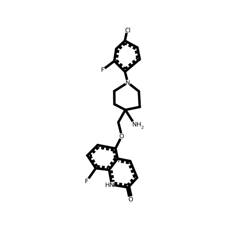 NC1(COc2ccc(F)c3[nH]c(=O)ccc23)CCN(c2ccc(Cl)cc2F)CC1